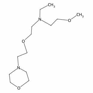 CCN(CCOC)CCOCCN1CCOCC1